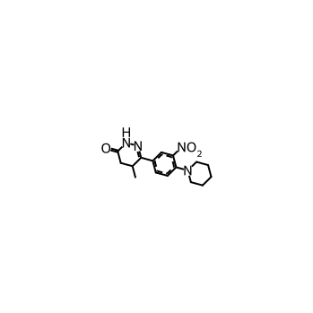 CC1CC(=O)NN=C1c1ccc(N2CCCCC2)c([N+](=O)[O-])c1